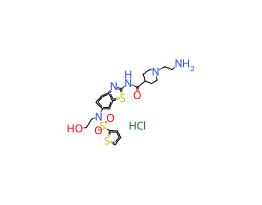 Cl.NCCN1CCC(C(=O)Nc2nc3ccc(N(CCO)S(=O)(=O)c4cccs4)cc3s2)CC1